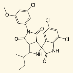 CCC(C)C1NC2(C(=O)Nc3c(Cl)cc(Cl)cc32)C2C(=O)N(c3cc(Cl)cc(OC)c3)C(=O)C12